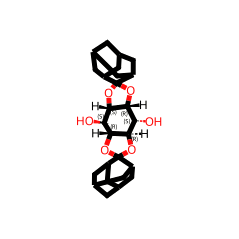 O[C@@H]1[C@H]2OC3(O[C@@H]2[C@@H](O)[C@@H]2OC4(O[C@H]12)C1CC2CC(C1)CC4C2)C1CC2CC(C1)CC3C2